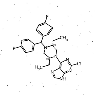 CC[C@H]1CN(C(c2ccc(F)cc2)c2ccc(F)cc2)[C@H](CC)CN1c1nc(Cl)nc2[nH]cnc12